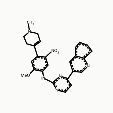 COc1cc(C2=CCN(C)CC2)c([N+](=O)[O-])cc1Nc1nccc(-c2cnc3ccccc3c2)n1